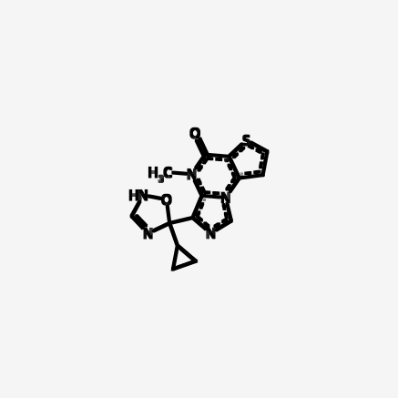 Cn1c(=O)c2sccc2n2cnc(C3(C4CC4)N=CNO3)c12